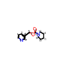 O=C(OCc1cccnc1)N1CCCCC1